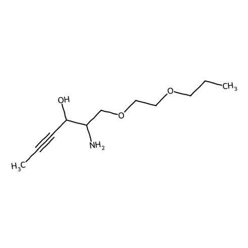 CC#CC(O)C(N)COCCOCCC